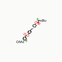 CCCC[C@H](F)C(=O)O[C@H]1CC[C@H](CCc2ccc(OC(=O)c3ccc(OC)c(F)c3)cc2)CC1